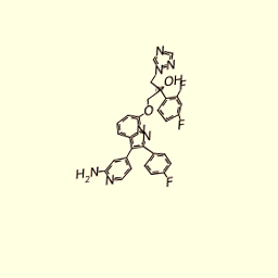 Nc1cc(-c2c(-c3ccc(F)cc3)nn3c(OC[C@](O)(Cn4cncn4)c4ccc(F)cc4F)cccc23)ccn1